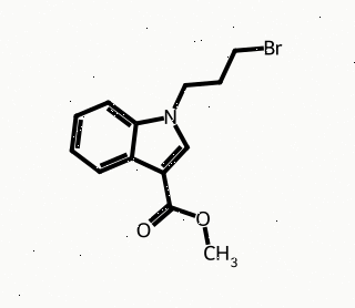 COC(=O)c1cn(CCCBr)c2ccccc12